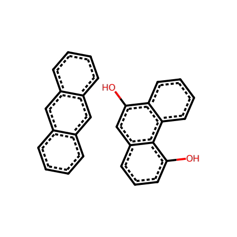 Oc1cc2cccc(O)c2c2ccccc12.c1ccc2cc3ccccc3cc2c1